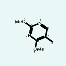 COc1ncc(C)c(OC)n1